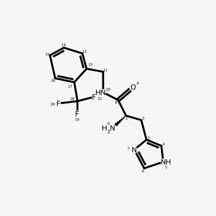 N[C@H](Cc1c[nH]cn1)C(=O)NCc1ccccc1C(F)(F)F